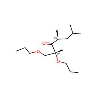 CCCOC[C@@](C)(OCCC)C(=O)[C@@H](C)CC(C)C